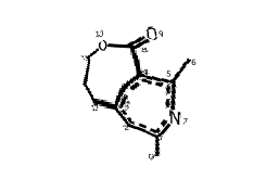 Cc1cc2c(c(C)n1)C(=O)OCC2